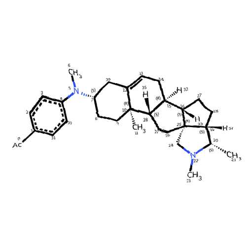 CC(=O)c1ccc(N(C)[C@H]2CC[C@@]3(C)C(=CC[C@H]4[C@@H]5CC[C@@H]6[C@H](C)N(C)C[C@@]65CC[C@@H]43)C2)cc1